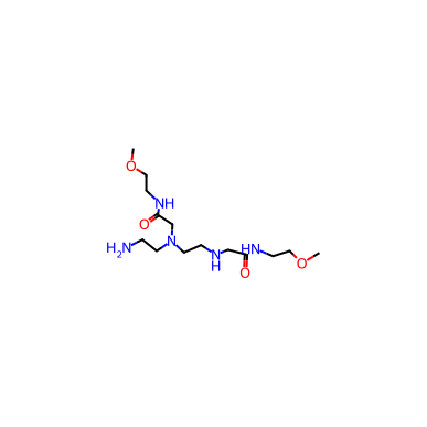 COCCNC(=O)CNCCN(CCN)CC(=O)NCCOC